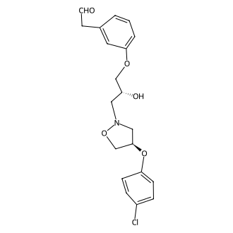 O=CCc1cccc(OC[C@H](O)CN2C[C@@H](Oc3ccc(Cl)cc3)CO2)c1